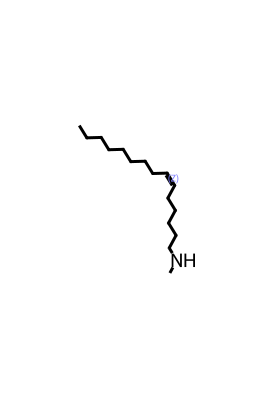 CCCCCCCC/C=C\CCCCCNC